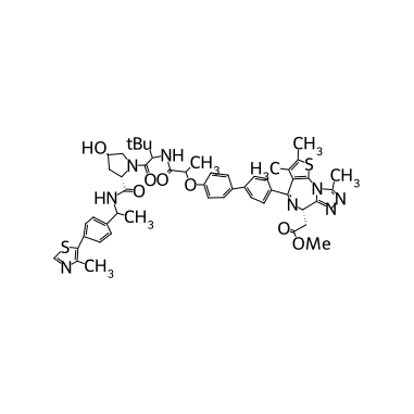 COC(=O)C[C@@H]1N=C(c2ccc(-c3ccc(OC(C)C(=O)NC(C(=O)N4C[C@H](O)C[C@H]4C(=O)NC(C)c4ccc(-c5scnc5C)cc4)C(C)(C)C)cc3)cc2)c2c(sc(C)c2C)-n2c(C)nnc21